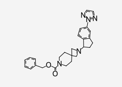 O=C(OCc1ccccc1)N1CCC2(CC1)CN(C1CCc3cc(-n4nccn4)ccc31)C2